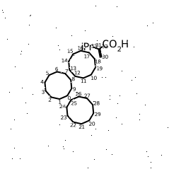 C1CCCCCCCCC1.C1CCCCCCCCC1.C1CCCCCCCCC1.C=C(C(=O)O)C(C)C